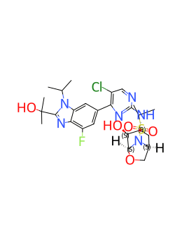 CC(C)n1c(C(C)(C)O)nc2c(F)cc(-c3nc(N[C@@H]4C[C@H]5CO[C@@H]([C@H]4O)N5S(=O)(=O)C(C)C)ncc3Cl)cc21